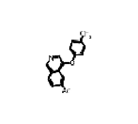 CC(=O)c1ccc2cncc(Oc3ccc(C(F)(F)F)cc3)c2c1